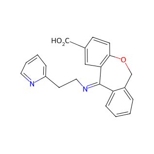 O=C(O)c1ccc2c(c1)C(=NCCc1ccccn1)c1ccccc1CO2